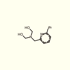 CC(C)c1cccc(CN(CO)CO)n1